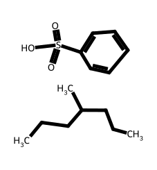 CCCC(C)CCC.O=S(=O)(O)c1ccccc1